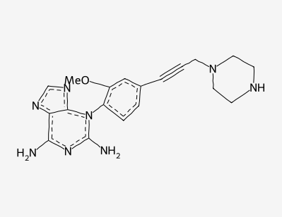 COc1cc(C#CCN2CCNCC2)ccc1-n1c(N)nc(N)c2ncnc1-2